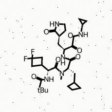 CN(C(=O)[C@H](NC(=O)C(C)(C)C)C1CC(F)(F)C1)[C@@H](CC1CCC1)C(=O)N[C@@H](C[C@@H]1CCNC1=O)C(=O)C(=O)NC1CC1